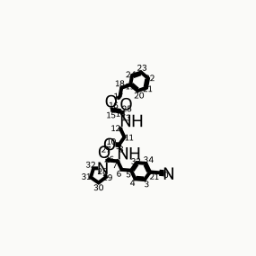 N#Cc1ccc(CC(NC(=O)CCNC2=COC(Cc3ccccc3)O2)C(=O)N2CCCC2)cc1